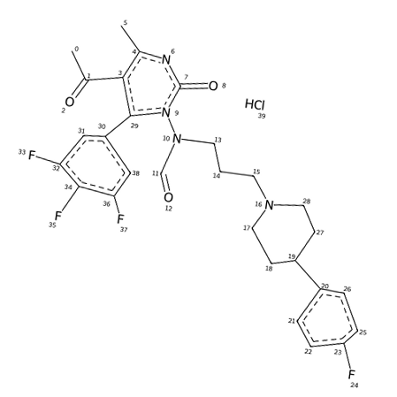 CC(=O)c1c(C)nc(=O)n(N(C=O)CCCN2CCC(c3ccc(F)cc3)CC2)c1-c1cc(F)c(F)c(F)c1.Cl